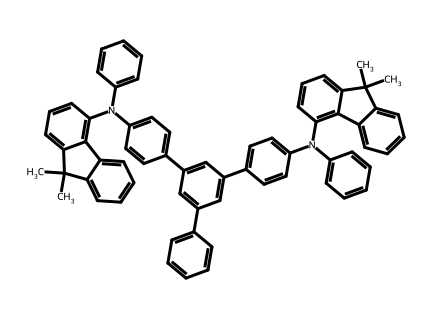 CC1(C)c2ccccc2-c2c(N(c3ccccc3)c3ccc(-c4cc(-c5ccccc5)cc(-c5ccc(N(c6ccccc6)c6cccc7c6-c6ccccc6C7(C)C)cc5)c4)cc3)cccc21